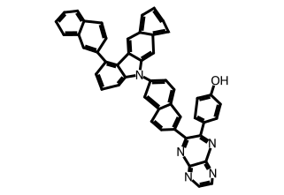 Oc1ccc(-c2nc3nccnc3nc2-c2ccc3cc(-n4c5cc6ccccc6cc5c5c(-c6ccc7ccccc7c6)cccc54)ccc3c2)cc1